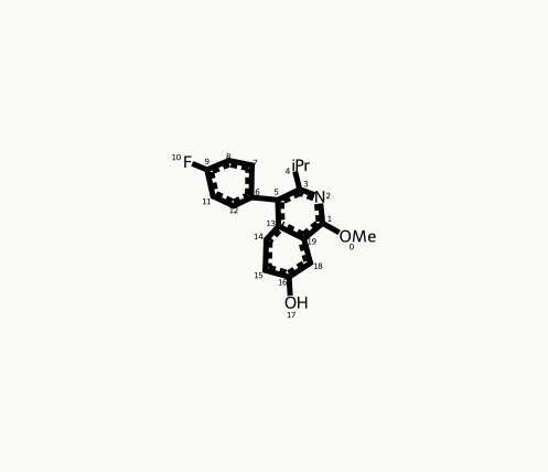 COc1nc(C(C)C)c(-c2ccc(F)cc2)c2ccc(O)cc12